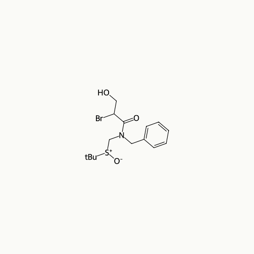 CC(C)(C)[S+]([O-])CN(Cc1ccccc1)C(=O)C(Br)CO